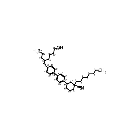 CCCCCCCCC1(C#N)CCCC(c2ccc(-c3ccc(OC(CCC)CCCCO)cc3)cc2)C1